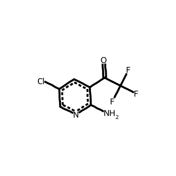 Nc1ncc(Cl)cc1C(=O)C(F)(F)F